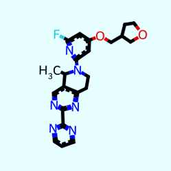 CC1c2cnc(-c3ncccn3)nc2CCN1c1cc(OCC2CCOC2)cc(F)n1